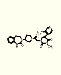 Cc1cnccc1-c1cn(CC(=O)N2CCC(N3CCc4ccccc4NC3=O)CC2)c(=O)n(C)c1=O